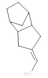 OC=C1CC2C3CCC(C3)C2C1